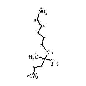 CCCC(C)(C)NCCCCCN